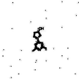 Cc1cc(N2CC[C@@H](O)C2)nc(C)n1